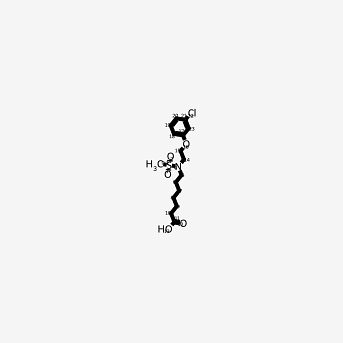 CS(=O)(=O)N(CCCCCCC(=O)O)CCOc1cccc(Cl)c1